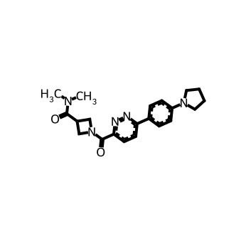 CN(C)C(=O)C1CN(C(=O)c2ccc(-c3ccc(N4CCCC4)cc3)nn2)C1